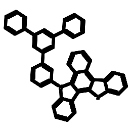 c1ccc(-c2cc(-c3ccccc3)cc(-c3cccc(-n4c5ccccc5c5c6sc7ccccc7c6c6ccccc6c54)c3)c2)cc1